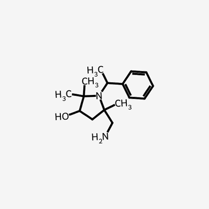 CC(c1ccccc1)N1C(C)(CN)CC(O)C1(C)C